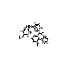 O=C(c1cccc(F)c1-n1nccn1)N1CC2CCC1C(Nc1ccc(Br)cn1)C2